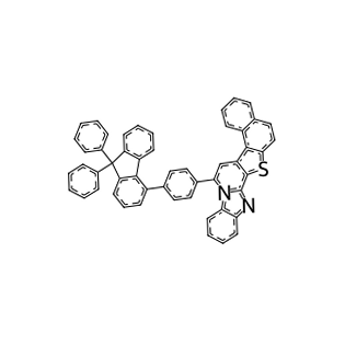 c1ccc(C2(c3ccccc3)c3ccccc3-c3c(-c4ccc(-c5cc6c(sc7ccc8ccccc8c76)c6nc7ccccc7n56)cc4)cccc32)cc1